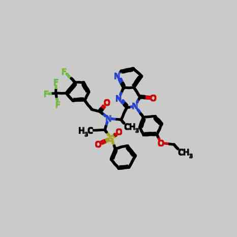 CCOc1ccc(-n2c(C(C)N(C(=O)Cc3ccc(F)c(C(F)(F)F)c3)C(C)S(=O)(=O)c3ccccc3)nc3ncccc3c2=O)cc1